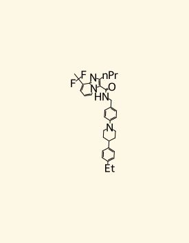 CCCc1nc2c(C(C)(F)F)cccn2c1C(=O)NCc1ccc(N2CCC(c3ccc(CC)cc3)CC2)cc1